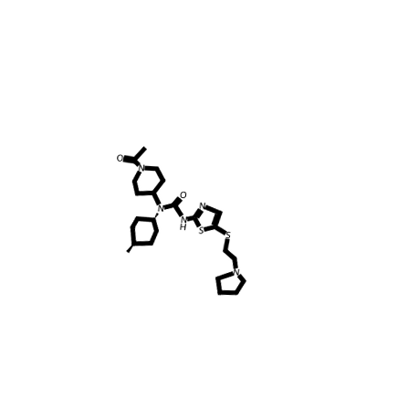 CC(=O)N1CCC(N(C(=O)Nc2ncc(SCCN3CCCC3)s2)[C@H]2CC[C@H](C)CC2)CC1